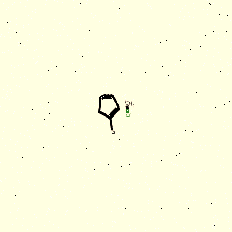 CCl.[Zr][C]1=CC=CC1